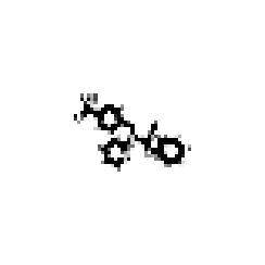 Cn1c(N(Cc2ccc(C(=O)O)cc2)c2ccccn2)nc2ccccc21